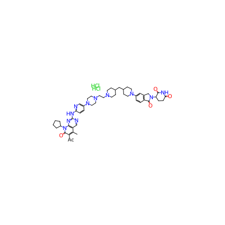 CC(=O)c1c(C)c2cnc(Nc3ccc(N4CCN(CCN5CCC(CC6CCN(c7ccc8c(c7)CN(C7CCC(=O)NC7=O)C8=O)CC6)CC5)CC4)cn3)nc2n(C2CCCC2)c1=O.Cl.Cl